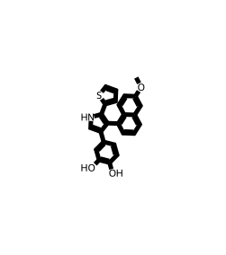 COc1ccc2c(-c3c(-c4ccc(O)c(O)c4)c[nH]c3-c3cccs3)cccc2c1